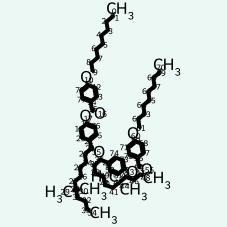 CCCCCCCCCCOc1ccc(C(=O)Oc2ccc(C(CCCCCC(C)(C)CCCC)OC(CCCCCC(C)(C)CCCC)c3ccc(OC(=O)c4ccc(OCCCCCCCCCC)cc4)cc3)cc2)cc1